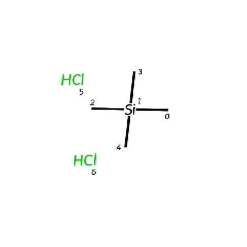 C[Si](C)(C)C.Cl.Cl